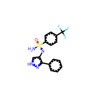 NS(=O)(=Nc1c[nH]nc1-c1ccccc1)c1ccc(C(F)(F)F)cc1